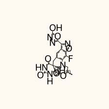 C[C@@H]1CN2c3c(cc4c(-c5nnc(O)o5)noc4c3F)CC3(C(=O)NC(=O)NC3=O)[C@H]2[C@H](C)O1